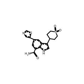 NC(=O)c1cc(-c2cncs2)cc2c(C3CCS(=O)(=O)CC3)c[nH]c12